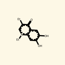 CCc1cn(CC)c2cc(O)c(O)cc2c1=O